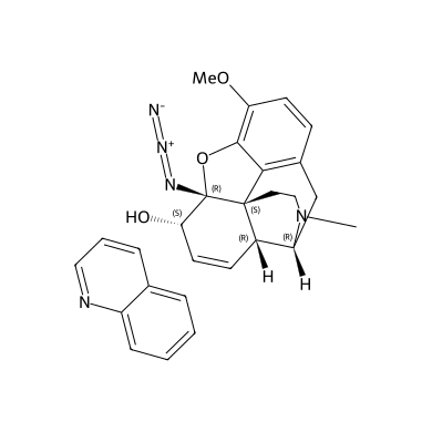 COc1ccc2c3c1O[C@@]1(N=[N+]=[N-])[C@@H](O)C=C[C@H]4[C@@H](C2)N(C)CC[C@@]341.c1ccc2ncccc2c1